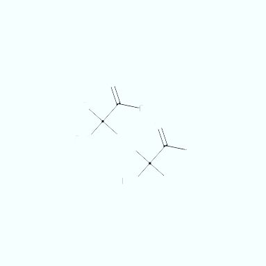 O=C(F)C(F)(F)C(F)(F)F.O=C(F)C(F)(F)C(F)(F)F